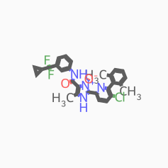 Cc1cccc(C)c1-c1nc(-c2[nH]c(C)c(C(=O)Nc3cccc(C(F)(F)C4CC4)c3)[n+]2[O-])ccc1Cl